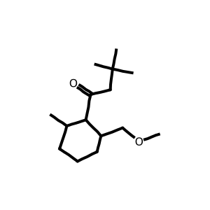 COCC1CCCC(C)C1C(=O)CC(C)(C)C